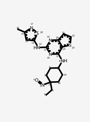 CCC1(N=O)CCC(Nc2nc(Nc3cc(C)ns3)nc3ccsc23)CC1